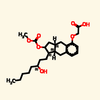 CCCCC[C@H](O)CC[C@H]1C(OC(=O)OC)C[C@@H]2Cc3c(cccc3OCC(=O)O)C[C@@H]21